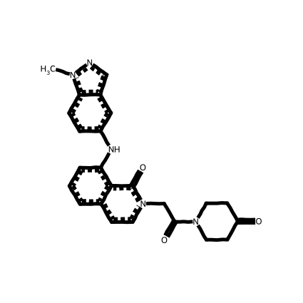 Cn1ncc2cc(Nc3cccc4ccn(CC(=O)N5CCC(=O)CC5)c(=O)c34)ccc21